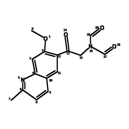 COc1cc2nc(C)ccc2cc1C(=O)CN(C=O)C=O